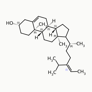 C/C=C(\CC[C@@H](C)C1CC[C@H]2[C@@H]3CC=C4C[C@@H](O)CC[C@]4(C)[C@H]3CC[C@]12C)C(C)C